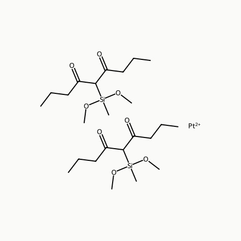 CCCC(=O)C(C(=O)CCC)[Si](C)(OC)OC.CCCC(=O)C(C(=O)CCC)[Si](C)(OC)OC.[Pt+2]